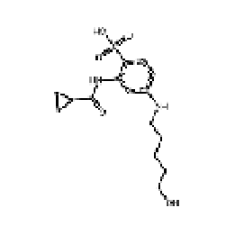 O=C(Nc1cc(NCCCCCO)ccc1S(=O)(=O)O)C1CC1